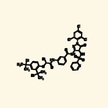 CCC(Oc1ccc(C(C)(C)CC)cc1C(C)(C)CC)C(=O)Nc1cccc(C(=O)NC2=NN(c3c(Cl)cc(Cl)cc3Cl)C(=O)C2NS(=O)(=O)c2ccccn2)c1